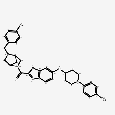 N#Cc1ccc(CN2CC3CC2CN3C(=O)c2nc3ccc(OC4CCN(c5ccc(C(F)(F)F)cc5)CC4)cc3o2)cc1